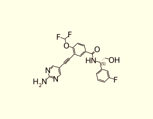 Nc1ncc(C#Cc2cc(C(=O)N[C@H](CO)c3cccc(F)c3)ccc2OC(F)F)cn1